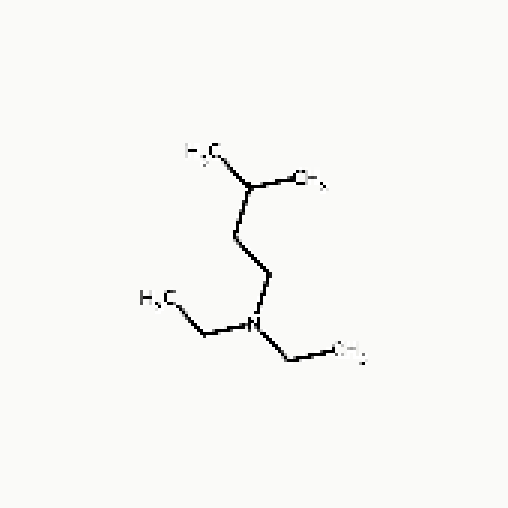 CCN(CC)CC[C](C)C